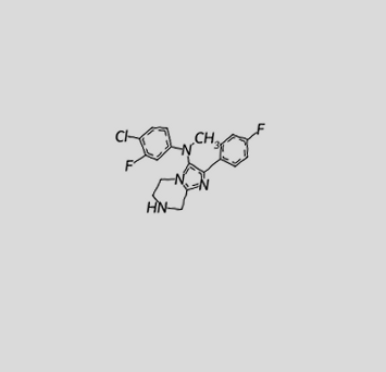 CN(c1ccc(Cl)c(F)c1)c1c(-c2ccc(F)cc2)nc2n1CCNC2